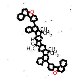 CC1(C)c2cc3c(cc2-c2cc4c(cc21)-c1c(cc(-c2ccc5oc6ccc7ccccc7c6c5c2)c2ccccc12)C4(C)C)C(C)(C)c1cc(-c2ccc4oc5ccc6ccccc6c5c4c2)c2ccccc2c1-3